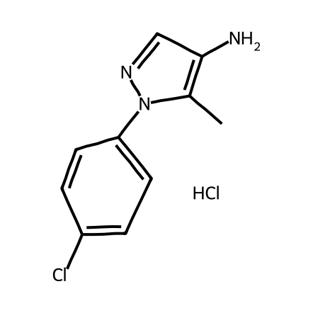 Cc1c(N)cnn1-c1ccc(Cl)cc1.Cl